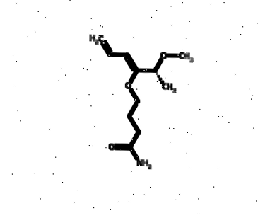 C=C/C=C(\OCCCC(N)=O)[C@@H](C)OC